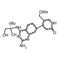 CCCC[C@](C)(CO)Nc1nc(N)nc2cc(-c3cc(=O)[nH]cc3COC)ccc12